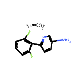 CC(=O)O.Nc1ccc(-c2c(F)cccc2F)nc1